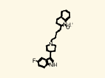 [O-][NH+]1c2ccccc2CCC1CCCCN1CCC(c2c[nH]c3ccc(F)cc23)CC1